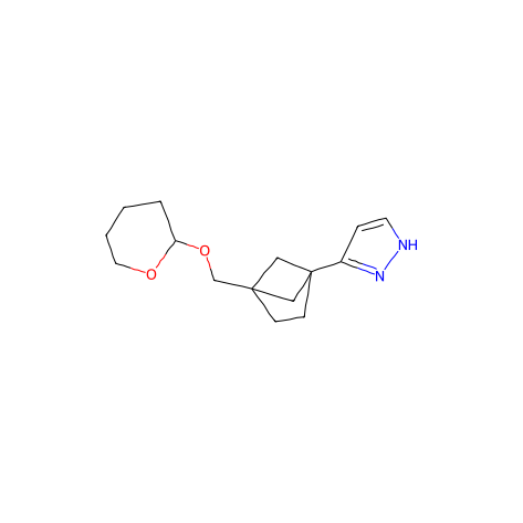 c1cc(C23CCC(COC4CCCCO4)(C2)C3)n[nH]1